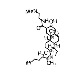 CNCCNC(=O)C1C[C@@]2(C)C(=CC[C@H]3[C@@H]4CC[C@H]([C@H](C)CCCC(C)C)[C@@]4(C)CC[C@@H]32)C[C@H]1O